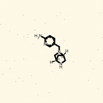 Nc1ccc(CN2C[C@@H]3C[C@H]2CN3)cn1